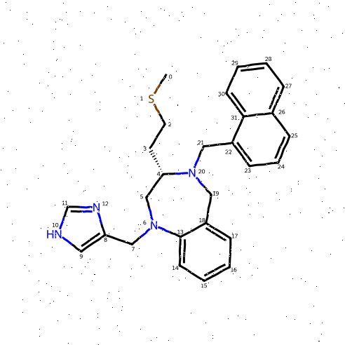 CSCC[C@H]1CN(Cc2c[nH]cn2)c2ccccc2CN1Cc1cccc2ccccc12